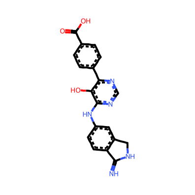 N=C1NCc2cc(Nc3ncnc(-c4ccc(C(=O)O)cc4)c3O)ccc21